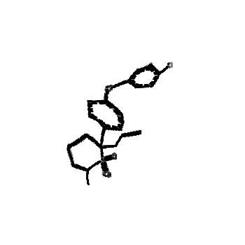 C=CCC1(c2ccc(Oc3ccc(Cl)cc3)cc2)CCCC(C)S1(=O)=O